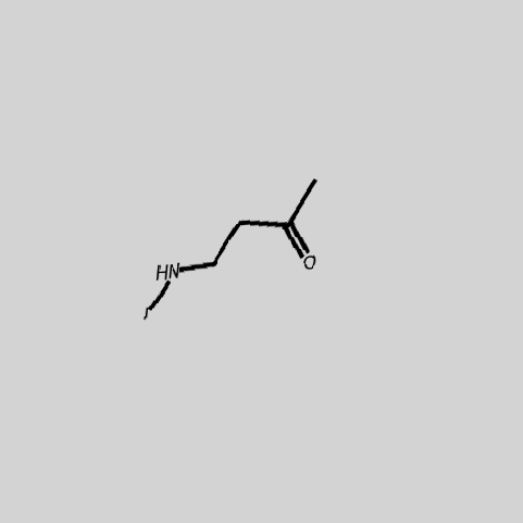 CC(=O)CCNI